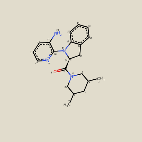 CC1CC(C)CN(C(=O)[C@@H]2Cc3ccccc3N2c2ncccc2N)C1